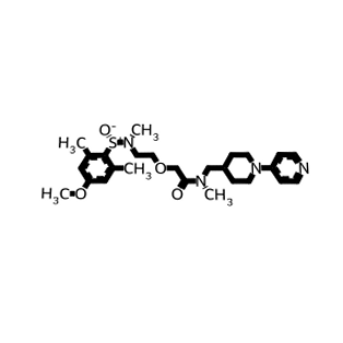 COc1cc(C)c([S+]([O-])N(C)CCOCC(=O)N(C)CC2CCN(c3ccncc3)CC2)c(C)c1